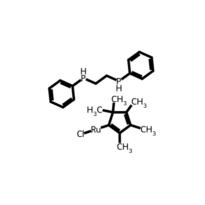 CC1=C(C)C(C)(C)[C]([Ru][Cl])=C1C.c1ccc(PCCPc2ccccc2)cc1